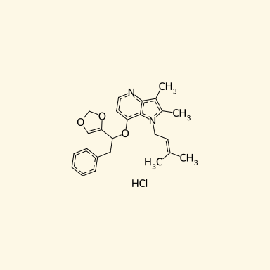 CC(C)=CCn1c(C)c(C)c2nccc(OC(Cc3ccccc3)C3=COCO3)c21.Cl